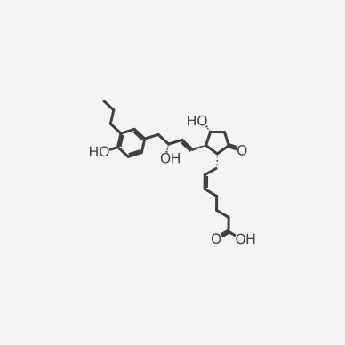 CCCc1cc(C[C@@H](O)/C=C/[C@H]2[C@H](O)CC(=O)[C@@H]2C/C=C\CCCC(=O)O)ccc1O